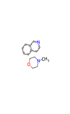 CN1CCOCC1.c1ccc2cnccc2c1